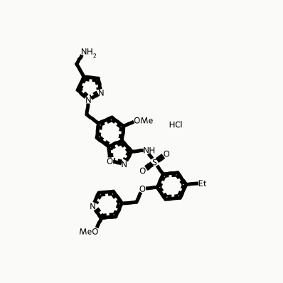 CCc1ccc(OCc2ccnc(OC)c2)c(S(=O)(=O)Nc2noc3cc(Cn4cc(CN)cn4)cc(OC)c23)c1.Cl